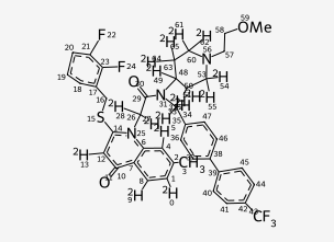 [2H]c1c(C)c([2H])c2c(c1[2H])c(=O)c([2H])c(SCc1cccc(F)c1F)n2C([2H])([2H])C(=O)N(C([2H])([2H])c1ccc(-c2ccc(C(F)(F)F)cc2)cc1)C1([2H])C([2H])([2H])C([2H])([2H])N(CCOC)C([2H])([2H])C1([2H])[2H]